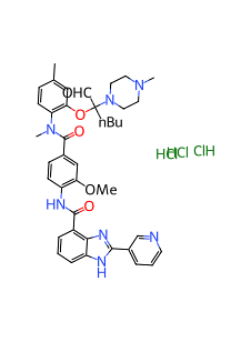 CCCCC(C=O)(Oc1cc(C)ccc1N(C)C(=O)c1ccc(NC(=O)c2cccc3[nH]c(-c4cccnc4)nc23)c(OC)c1)N1CCN(C)CC1.Cl.Cl.Cl